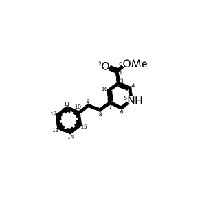 COC(=O)C1=CNCC(CCc2ccccc2)=C1